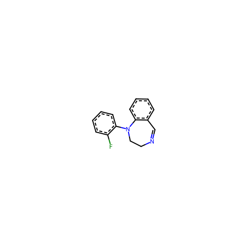 Fc1ccccc1N1CCN=Cc2ccccc21